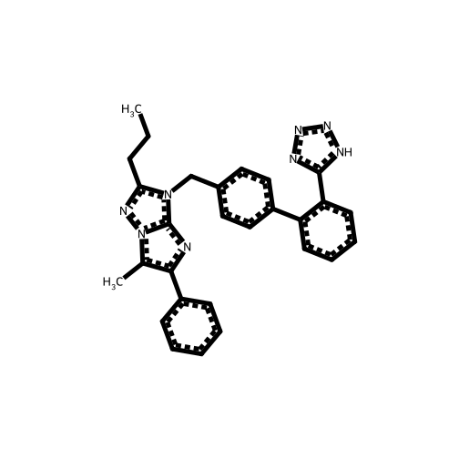 CCCc1nn2c(C)c(-c3ccccc3)nc2n1Cc1ccc(-c2ccccc2-c2nnn[nH]2)cc1